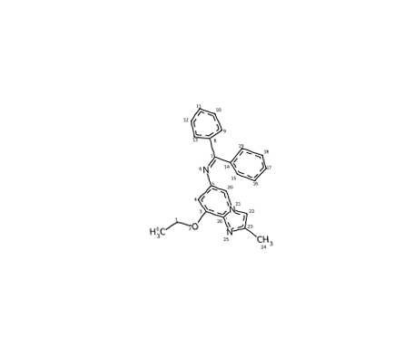 CCOc1cc(N=C(c2ccccc2)c2ccccc2)cn2cc(C)nc12